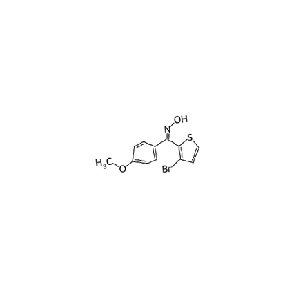 COc1ccc(C(=NO)c2sccc2Br)cc1